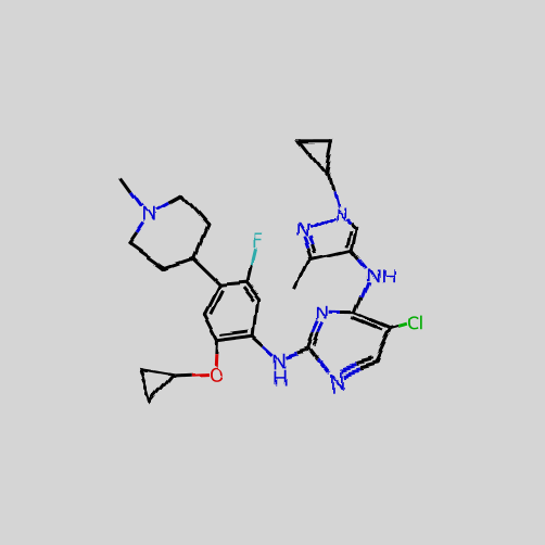 Cc1nn(C2CC2)cc1Nc1nc(Nc2cc(F)c(C3CCN(C)CC3)cc2OC2CC2)ncc1Cl